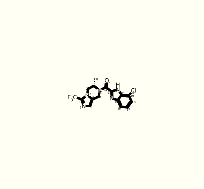 C[C@H]1Cn2c(cnc2C(F)(F)F)CN1C(=O)c1nc2cccc(Cl)c2[nH]1